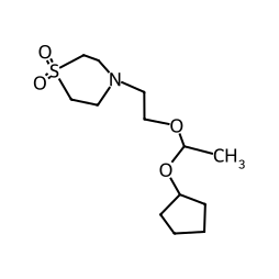 CC(OCCN1CCS(=O)(=O)CC1)OC1CCCC1